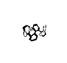 c1ccc(C2NCCO2)c(-c2ccccc2C2NCCO2)c1